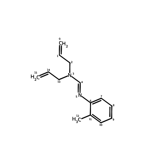 C=CCN(C=Nc1ccccc1C)CC=C